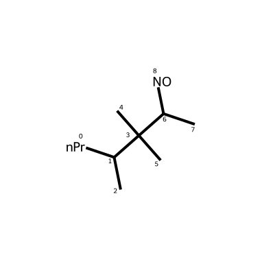 CCCC(C)C(C)(C)C(C)N=O